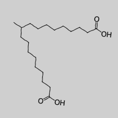 CC(CCCCCCCCC(=O)O)CCCCCCCCC(=O)O